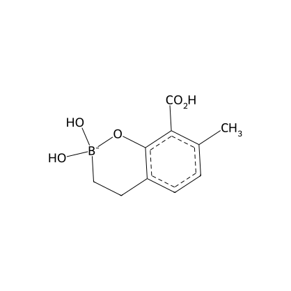 Cc1ccc2c(c1C(=O)O)O[B-](O)(O)CC2